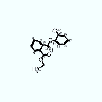 CCOC(=O)c1ccccc1C(=O)Oc1ccccc1Cl